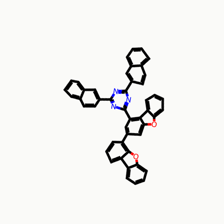 c1ccc2cc(-c3nc(-c4ccc5ccccc5c4)nc(-c4cc(-c5cccc6c5oc5ccccc56)cc5oc6ccccc6c45)n3)ccc2c1